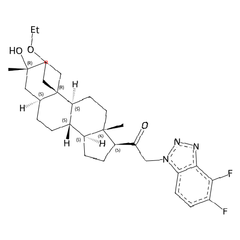 CCOCC[C@]12CC[C@@](C)(O)C[C@@H]1CC[C@H]1[C@@H]3CC[C@H](C(=O)Cn4nnc5c(F)c(F)ccc54)[C@@]3(C)CC[C@@H]12